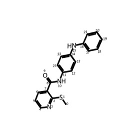 CSc1ncccc1C(=O)Nc1ccc(Nc2ccccc2)cc1